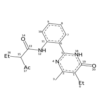 CCc1c(C)nc(-c2ccccc2NC(=O)C(CC)C(C)=O)[nH]c1=O